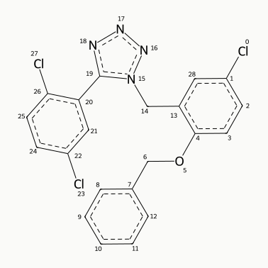 Clc1ccc(OCc2ccccc2)c(Cn2nnnc2-c2cc(Cl)ccc2Cl)c1